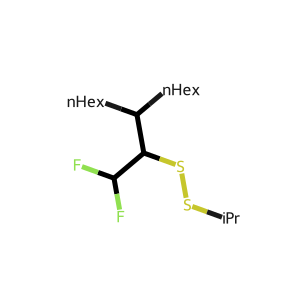 CCCCCCC(CCCCCC)C(SSC(C)C)C(F)F